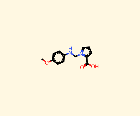 COc1ccc(NCn2cccc2C(=O)O)cc1